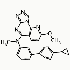 COc1ccc2c(N(C)c3cccc(-c4ccc(C5CC5)cc4)c3)nc3nncn3c2n1